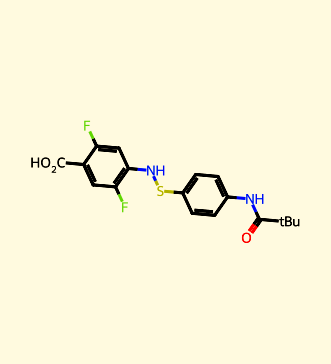 CC(C)(C)C(=O)Nc1ccc(SNc2cc(F)c(C(=O)O)cc2F)cc1